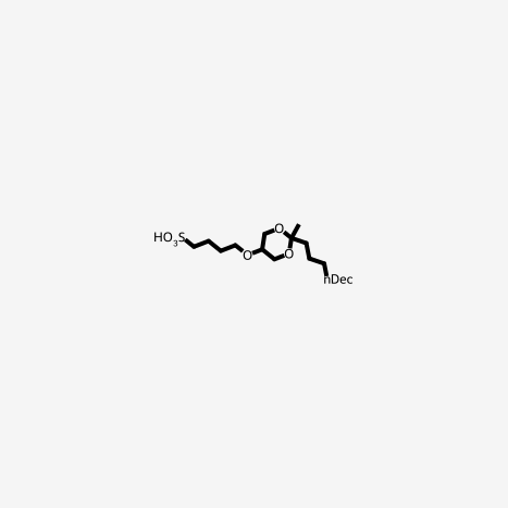 CCCCCCCCCCCCCC1(C)OCC(OCCCCS(=O)(=O)O)CO1